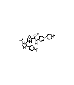 CC(C)n1cnc(-c2ccc(F)cc2)c1-c1coc(C(=O)Nc2ccc(N3CCN(C)CC3)cc2F)n1